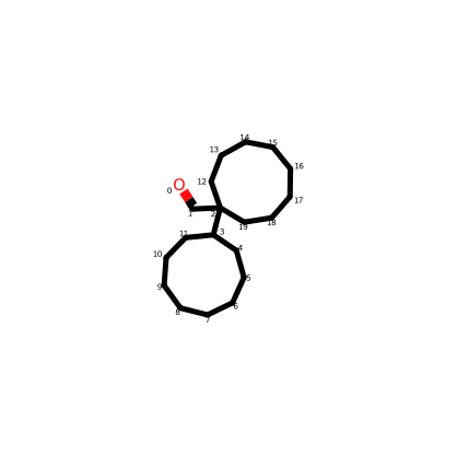 O=CC1(C2CCCCCCCC2)CCCCCCCC1